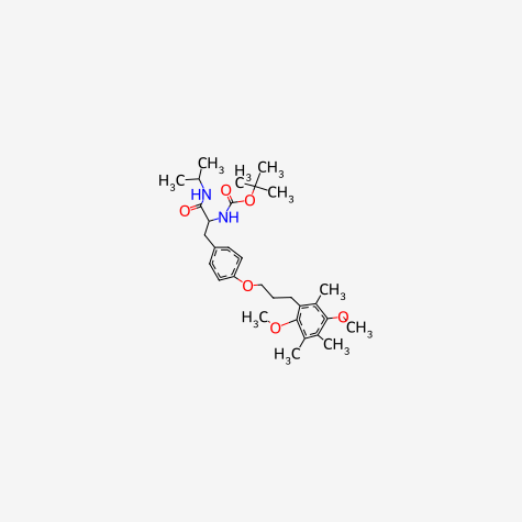 COc1c(C)c(C)c(OC)c(CCCOc2ccc(CC(NC(=O)OC(C)(C)C)C(=O)NC(C)C)cc2)c1C